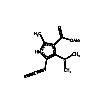 COC(=O)c1c(C)[nH]c(N=C=S)c1N(C)C